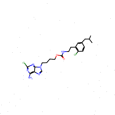 CC(C)Cc1ccc(Cl)c(CCNC(=O)OCCCCn2cnc3c(N)nc(Cl)nc32)c1